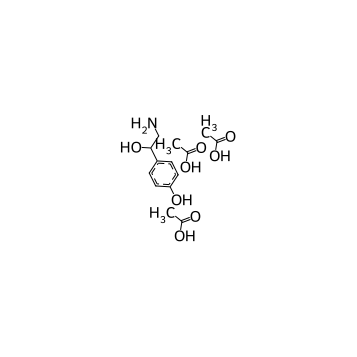 CC(=O)O.CC(=O)O.CC(=O)O.NCC(O)c1ccc(O)cc1